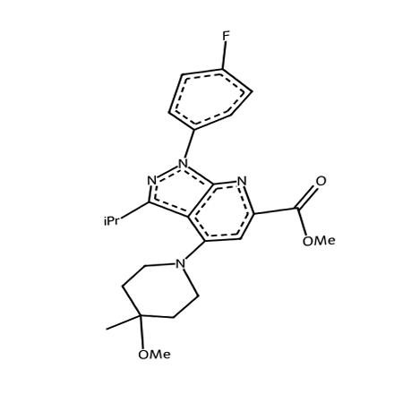 COC(=O)c1cc(N2CCC(C)(OC)CC2)c2c(C(C)C)nn(-c3ccc(F)cc3)c2n1